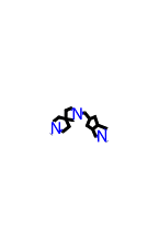 CN1CCC2(CC1)CCN(CC1CC3CN(C)CC3C1)C2